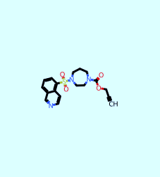 C#CCOC(=O)N1CCCN(S(=O)(=O)c2cccc3cnccc23)CC1